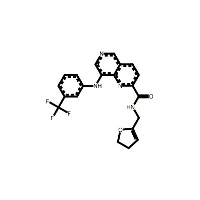 O=C(NCC1=CCCO1)c1ccc2cncc(Nc3cccc(C(F)(F)F)c3)c2n1